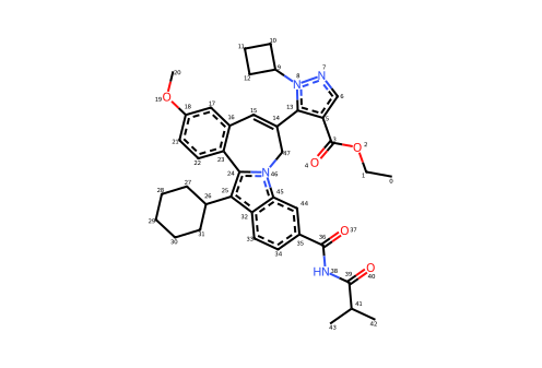 CCOC(=O)c1cnn(C2CCC2)c1C1=Cc2cc(OC)ccc2-c2c(C3CCCCC3)c3ccc(C(=O)NC(=O)C(C)C)cc3n2C1